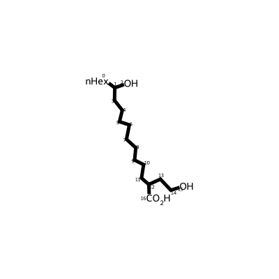 CCCCCCC(O)CCCCCCCCCC(CCO)C(=O)O